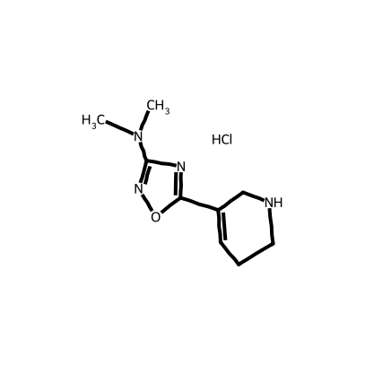 CN(C)c1noc(C2=CCCNC2)n1.Cl